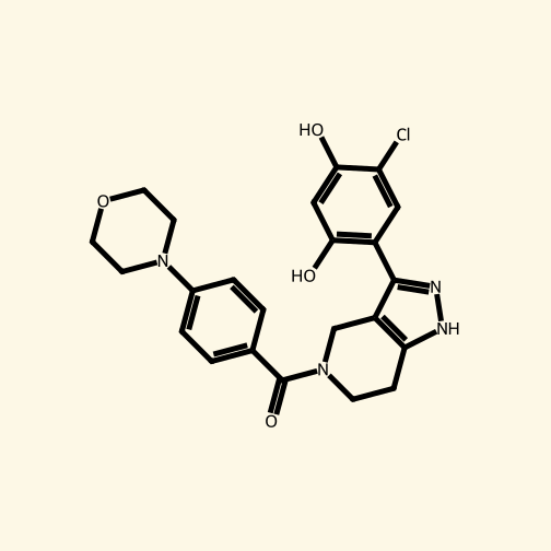 O=C(c1ccc(N2CCOCC2)cc1)N1CCc2[nH]nc(-c3cc(Cl)c(O)cc3O)c2C1